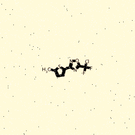 Cc1ccc(-c2noc(C(F)(F)Cl)n2)s1